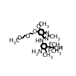 CCc1c(N)cc(Nc2nc(C)nc3cc(OC)c(OCCOCCOC)cc23)cc1C(F)(F)C(C)(C)O